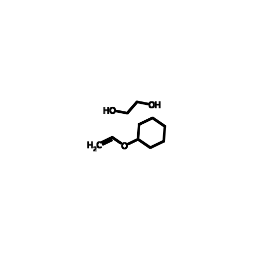 C=COC1CCCCC1.OCCO